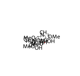 COC[C@]12CN(C)C3C4[C@H](OC)[C@H]1[C@@]3([C@@H](OC)C[C@H]2O)[C@@H]1C[C@@]2(O)[C@H](OC(=O)c3ccccc3)[C@@H]1[C@]4(OC)[C@@H](O)[C@@H]2OC